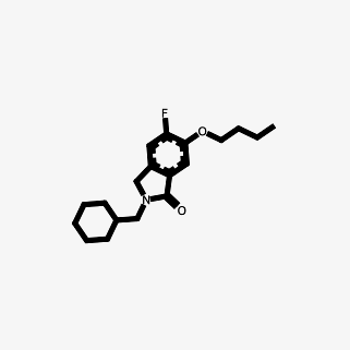 CCCCOc1cc2c(cc1F)CN(CC1CCCCC1)C2=O